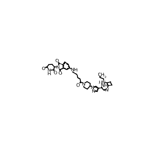 C=CCNC1CCC1/N=C\C(=N)c1cnn(C2CCN(C(=O)CCCCNc3ccc4c(c3)C(=O)N(C3CCC(=O)NC3=O)C4=O)CC2)c1